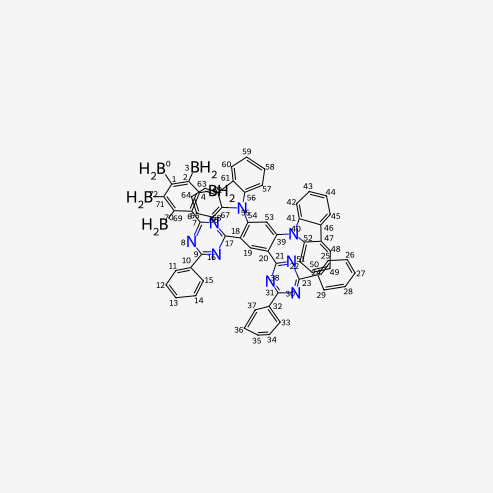 Bc1c(B)c(B)c(-c2nc(-c3ccccc3)nc(-c3cc(-c4nc(-c5ccccc5)nc(-c5ccccc5)n4)c(-n4c5ccccc5c5ccccc54)cc3-n3c4ccccc4c4ccccc43)n2)c(B)c1B